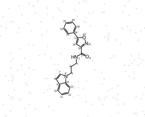 O=C(NCCCn1ccc2ccccc21)c1cc(-c2ccccc2)on1